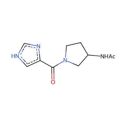 CC(=O)NC1CCN(C(=O)c2c[nH]cn2)C1